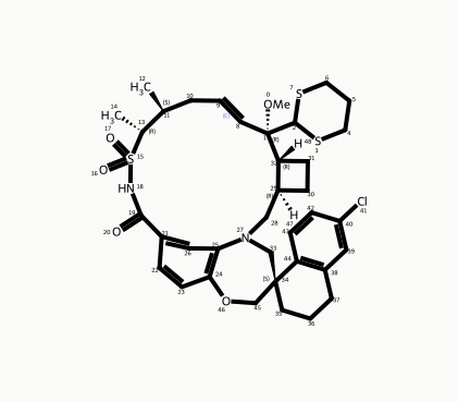 CO[C@@]1(C2SCCCS2)/C=C/C[C@H](C)[C@@H](C)S(=O)(=O)NC(=O)c2ccc3c(c2)N(C[C@@H]2CC[C@H]21)C[C@@]1(CCCc2cc(Cl)ccc21)CO3